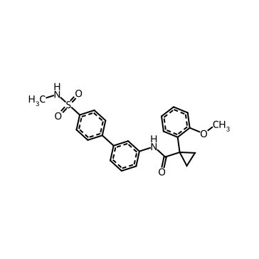 CNS(=O)(=O)c1ccc(-c2cccc(NC(=O)C3(c4ccccc4OC)CC3)c2)cc1